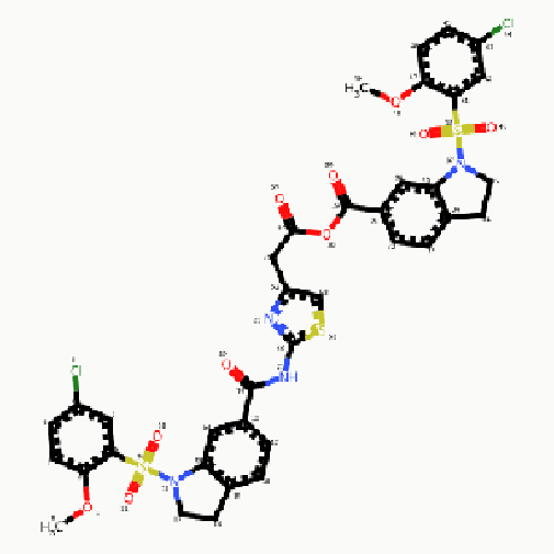 COc1ccc(Cl)cc1S(=O)(=O)N1CCc2ccc(C(=O)Nc3nc(CC(=O)OC(=O)c4ccc5c(c4)N(S(=O)(=O)c4cc(Cl)ccc4OC)CC5)cs3)cc21